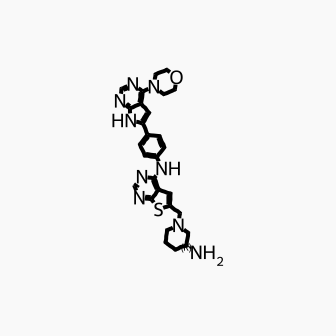 N[C@@H]1CCCN(Cc2cc3c(Nc4ccc(-c5cc6c(N7CCOCC7)ncnc6[nH]5)cc4)ncnc3s2)C1